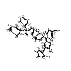 Cc1cc2c3c(c1)Oc1c(ccc4c1oc1cc(N(c5ccccc5)c5ccccc5)ccc14)B3c1cc(-c3ccccc3)ccc1O2